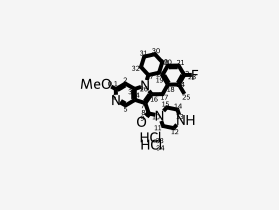 COc1cc2c(cn1)c(C(=O)N1CCNCC1)c(Cc1cccc(F)c1C)n2C1CCCCC1.Cl.Cl